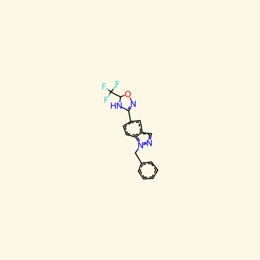 FC(F)(F)C1NC(c2ccc3c(cnn3Cc3ccccc3)c2)=NO1